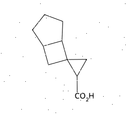 O=C(O)C1CC12CC1CCCC12